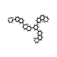 C1=CCNC(c2ccc3ccc(C4=CC=C5C=CC(c6cc(-c7ccc8ccc9c(c8n7)NCC=C9)cc(-c7ccc8ccc9c(c8n7)NCC=C9)c6)=CC5N4)cc3n2)=C1